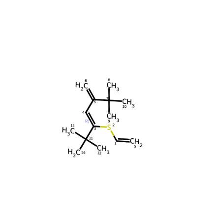 C=CS/C(=C\C(=C)C(C)(C)C)C(C)(C)C